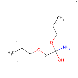 CCCOCC(N)(O)OCCC